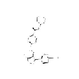 Cc1ccc(-c2noc(C)c2COc2ccc(C(=O)NC3CCOCC3)cn2)nn1